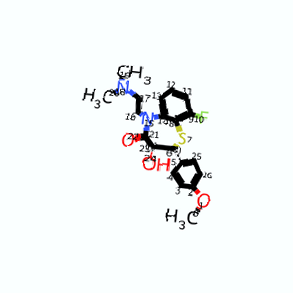 COc1ccc([C@H]2Sc3c(F)cccc3N(CCN(C)C)C(=O)[C@H]2O)cc1